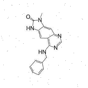 Cn1c(=O)[nH]c2cc3c(NCc4ccccc4)ncnc3cc21